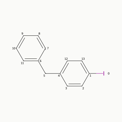 Ic1ccc(Cc2[c]cccc2)cc1